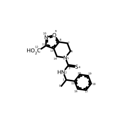 CC(NC(=S)N1CCc2onc(C(=O)O)c2C1)c1ccccc1